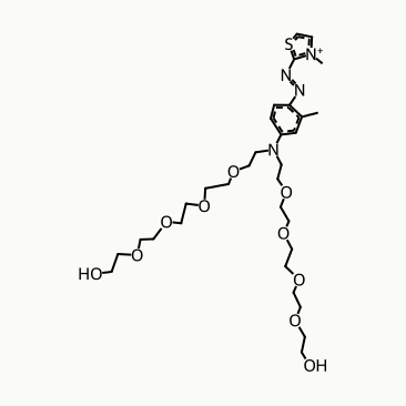 Cc1cc(N(CCOCCOCCOCCOCCO)CCOCCOCCOCCOCCO)ccc1/N=N/c1scc[n+]1C